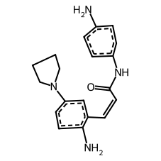 Nc1ccc(NC(=O)/C=C\c2cc(N3CCCC3)ccc2N)cc1